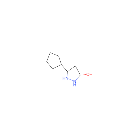 OC1CC(C2CCCC2)NN1